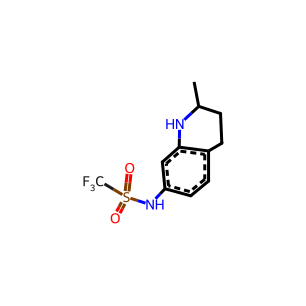 CC1CCc2ccc(NS(=O)(=O)C(F)(F)F)cc2N1